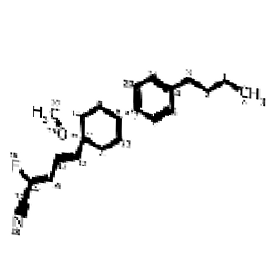 CCCCc1ccc([C@H]2CC[C@@](C=CC=C(F)C#N)(OC)CC2)cc1